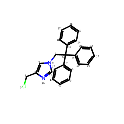 ClCc1cn(CC(c2ccccc2)(c2ccccc2)c2ccccc2)cn1